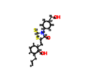 C=CCc1cccc(/C=C2\SC(=S)N(c3ccc(CO)cc3)C2=O)c1O